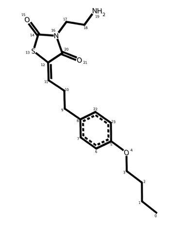 CCCCOc1ccc(CC/C=C2/SC(=O)N(CCN)C2=O)cc1